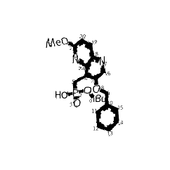 CCC(C)OP(=O)(O)Cc1c(OCc2ccccc2)cnc2ccc(OC)nc12